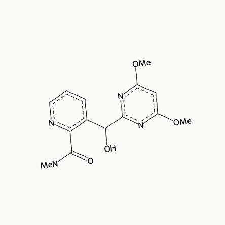 CNC(=O)c1ncccc1C(O)c1nc(OC)cc(OC)n1